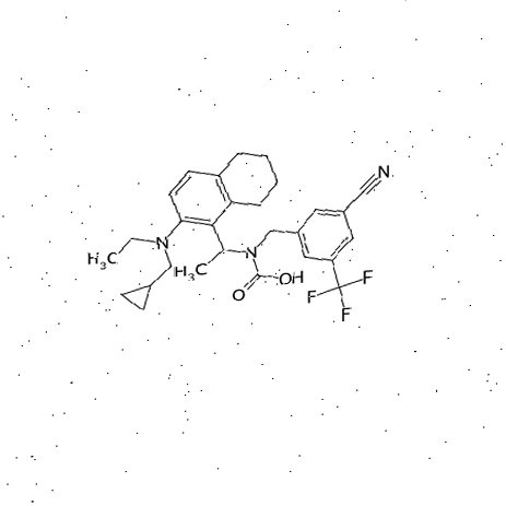 CCN(CC1CC1)c1ccc2c(c1C(C)N(Cc1cc(C#N)cc(C(F)(F)F)c1)C(=O)O)CCCC2